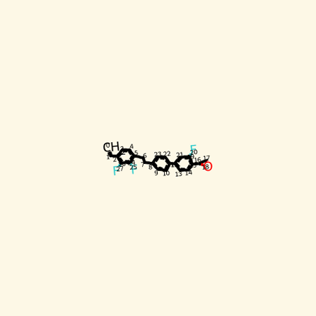 C=Cc1ccc(CCc2ccc(-c3ccc(C4CO4)c(F)c3)cc2)c(F)c1F